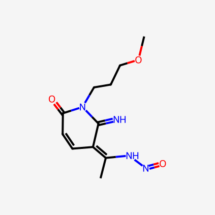 COCCCN1C(=N)/C(=C(/C)NN=O)C=CC1=O